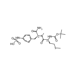 CSCC[C@H](NC(=O)OC(C)(C)C)C(=O)N(C)[C@@H](Cc1ccc(NS(=O)(=O)O)cc1)C(N)=O